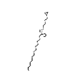 CCCCCCCCCCCCCCC(=O)OCCCCCC1CC1